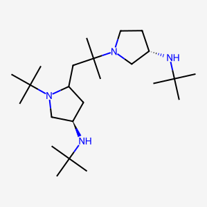 CC(C)(C)N[C@@H]1CC(CC(C)(C)N2CC[C@H](NC(C)(C)C)C2)N(C(C)(C)C)C1